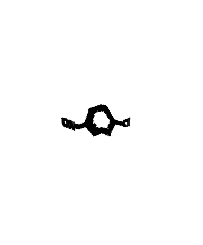 O=Nc1ccc(Cl)nc1